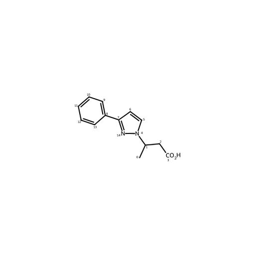 CC(CC(=O)O)n1ccc(-c2ccccc2)n1